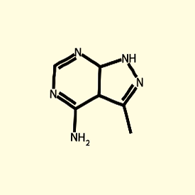 CC1=NNC2N=CN=C(N)C12